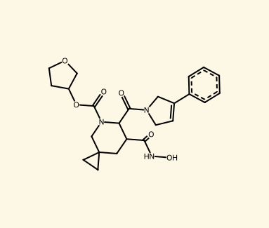 O=C(NO)C1CC2(CC2)CN(C(=O)OC2CCOC2)C1C(=O)N1CC=C(c2ccccc2)C1